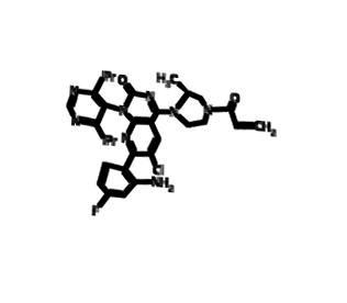 C=CC(=O)N1CCN(c2nc(=O)n(-c3c(C(C)C)ncnc3C(C)C)c3nc(-c4ccc(F)cc4N)c(Cl)cc23)[C@@H](C)C1